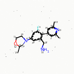 Cc1cc(-c2c(F)cc(N3CCOC(C)C3)cc2CN)cc(C)n1